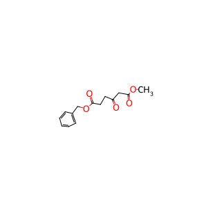 COC(=O)CC(=O)CCC(=O)OCc1ccccc1